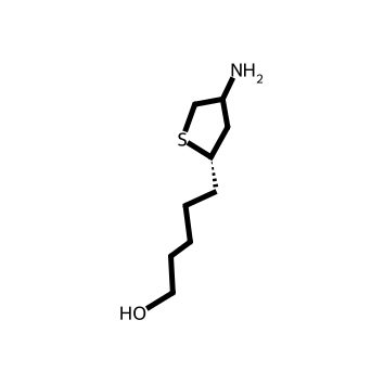 NC1CS[C@@H](CCCCCO)C1